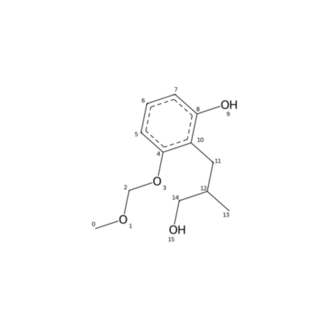 COCOc1cccc(O)c1CC(C)CO